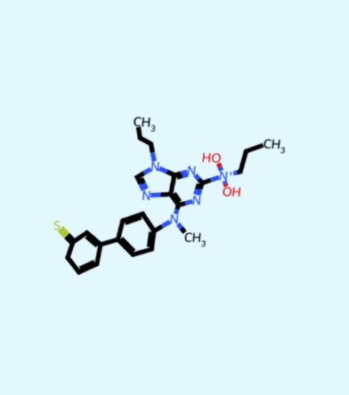 CCCn1cnc2c(N(C)c3ccc(C4=CC(=S)CC=C4)cc3)nc([N+](O)(O)CCC)nc21